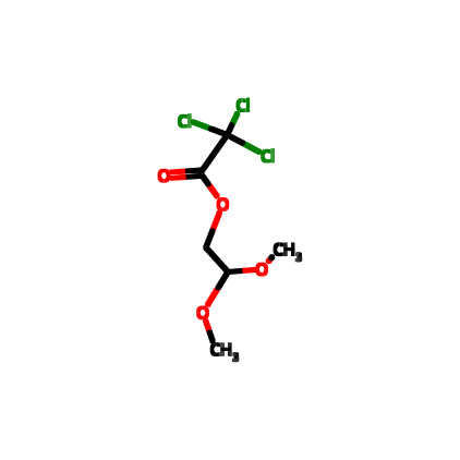 COC(COC(=O)C(Cl)(Cl)Cl)OC